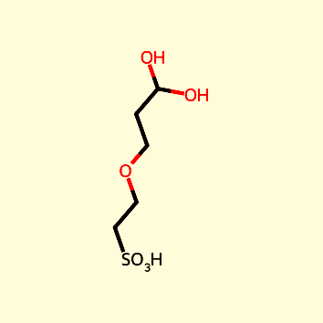 O=S(=O)(O)CCOCCC(O)O